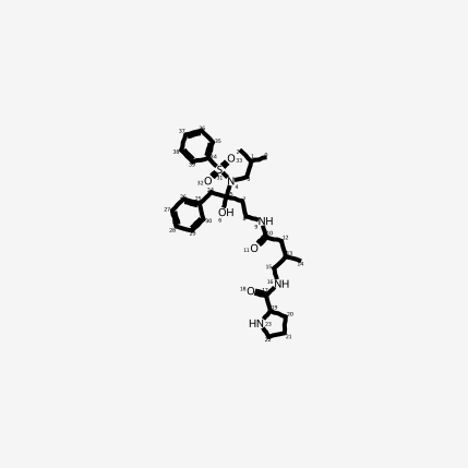 CC(C)CN(C(O)(CCNC(=O)CC(C)CNC(=O)C1CCCN1)Cc1ccccc1)S(=O)(=O)c1ccccc1